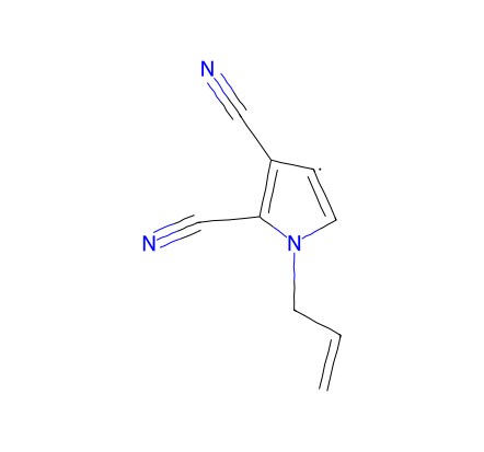 C=CCn1c[c]c(C#N)c1C#N